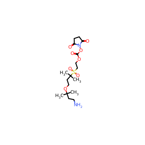 CC(C)(CCN)OCCC(C)(C)S(=O)(=O)CCOC(=O)ON1C(=O)CCC1=O